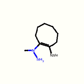 CN/C1=C(\N(C)N)CCCCCC1